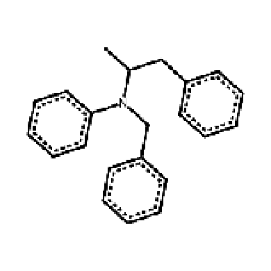 CC(Cc1ccccc1)N(Cc1ccccc1)c1ccccc1